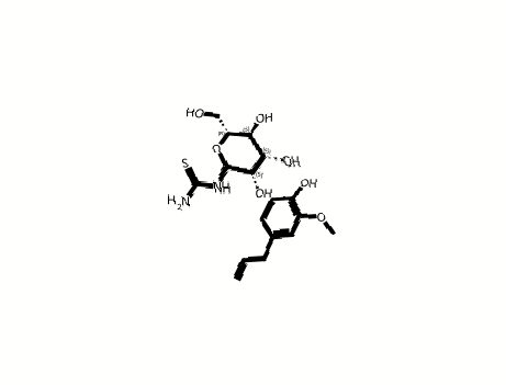 C=CCc1ccc(O)c(OC)c1.NC(=S)NC1O[C@H](CO)[C@@H](O)[C@H](O)[C@@H]1O